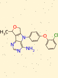 CC1OCc2c1c1ncnc(N)c1n2-c1ccc(Oc2ccccc2Cl)cc1